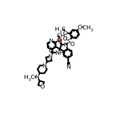 COc1ccc(S(=O)(=O)N2C(=O)C(NC(=O)N3CC(N4CCC(N(C)C5COC5)CC4)C3)(c3cccnc3OC)c3cc(C#N)ccc32)c(OC)c1